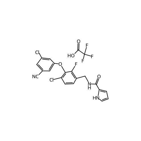 N#Cc1cc(Cl)cc(Oc2c(Cl)ccc(CNC(=O)c3ccc[nH]3)c2F)c1.O=C(O)C(F)(F)F